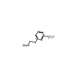 CNCCc1cccc(S(=O)(=O)O)c1